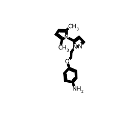 Cc1ccc(C)n1-c1ccnn1CCOc1ccc(N)cc1